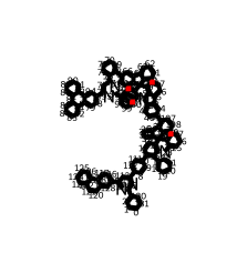 c1ccc(-c2nc(-c3ccc(-c4ccc5c6c4c4ccccc4n6-c4ccccc4C54c5ccccc5-c5c(-c6ccc7c(c6)c6cccc8c6n7-c6ccccc6C86c7ccccc7-c7cc(-c8ccccc8-c8cc(-c9ccc%10c%11ccccc%11c%11ccccc%11c%10c9)nc(-c9ccccc9)n8)ccc76)cccc54)cc3)cc(-c3ccc4c(ccc5ccccc54)c3)n2)cc1